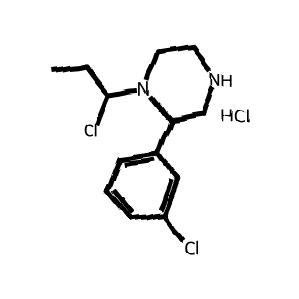 CCC(Cl)N1CCNCC1c1cccc(Cl)c1.Cl